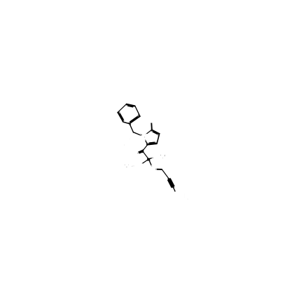 CC#CCOC(OC)(OC)C(=O)c1ccc(F)n1[C@H](C)c1ccccc1